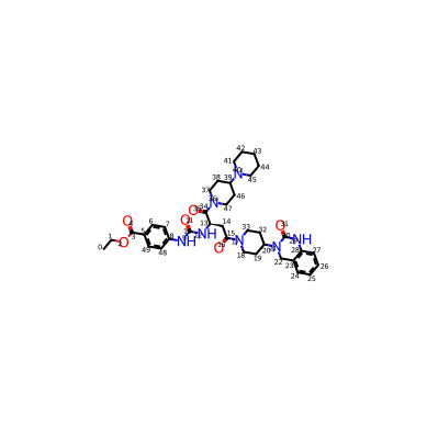 CCOC(=O)c1ccc(NC(=O)N[C@H](CC(=O)N2CCC(N3Cc4ccccc4NC3=O)CC2)C(=O)N2CCC(N3CCCCC3)CC2)cc1